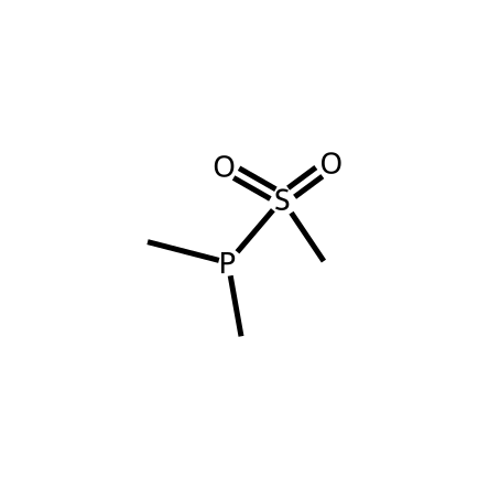 CP(C)S(C)(=O)=O